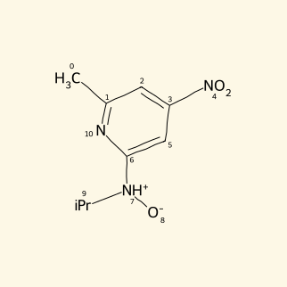 Cc1cc([N+](=O)[O-])cc([NH+]([O-])C(C)C)n1